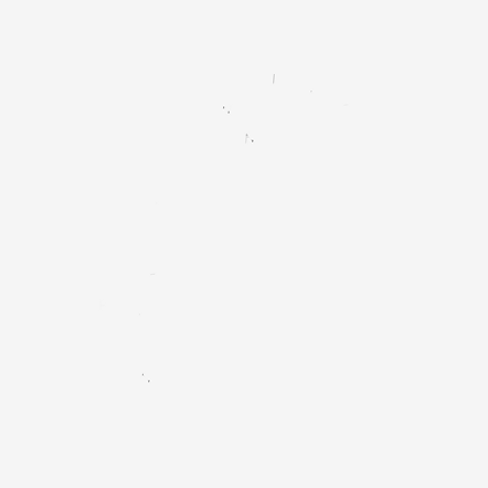 FC(F)(F)Cn1ncc2ccc(OC3=CN=CC3(F)F)cc21